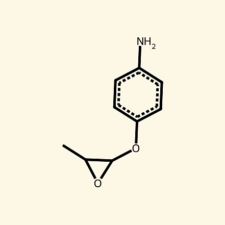 CC1OC1Oc1ccc(N)cc1